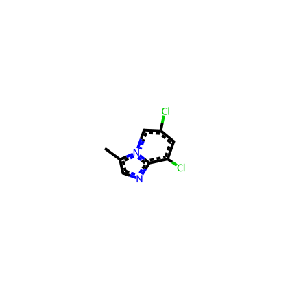 Cc1cnc2c(Cl)cc(Cl)cn12